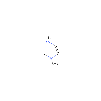 CCN/C=C\N(C)SC